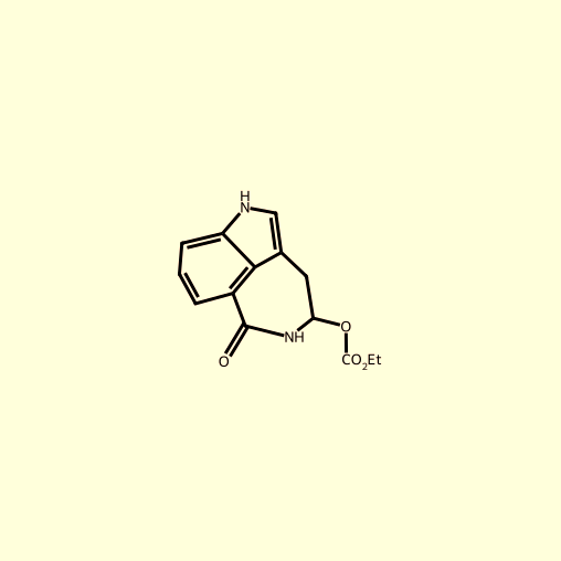 CCOC(=O)OC1Cc2c[nH]c3cccc(c23)C(=O)N1